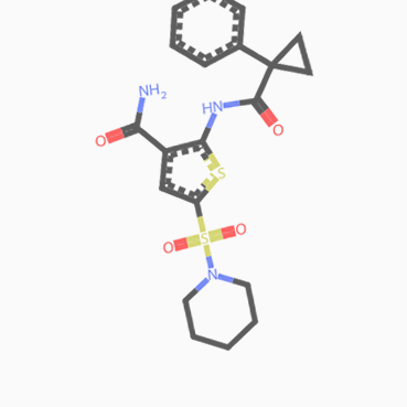 NC(=O)c1cc(S(=O)(=O)N2CCCCC2)sc1NC(=O)C1(c2ccccc2)CC1